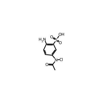 CC(=O)N(Cl)c1ccc(N)c(S(=O)(=O)O)c1